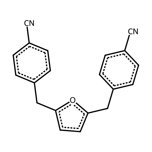 N#Cc1ccc(Cc2ccc(Cc3ccc(C#N)cc3)o2)cc1